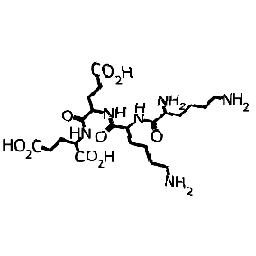 NCCCCC(N)C(=O)NC(CCCCN)C(=O)NC(CCC(=O)O)C(=O)NC(CCC(=O)O)C(=O)O